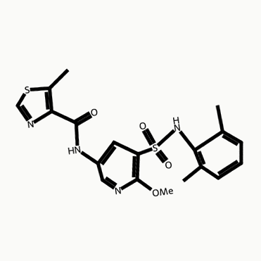 COc1ncc(NC(=O)c2ncsc2C)cc1S(=O)(=O)Nc1c(C)cccc1C